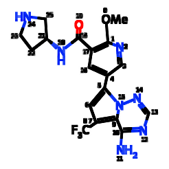 COc1ncc(-c2cc(C(F)(F)F)c3c(N)ncnn23)cc1C(=O)N[C@H]1CCNC1